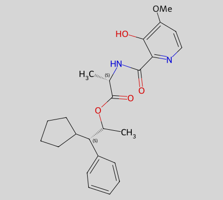 COc1ccnc(C(=O)N[C@@H](C)C(=O)OC(C)[C@H](c2ccccc2)C2CCCC2)c1O